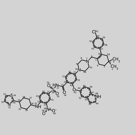 CC1(C)CCC(CN2CCN(c3ccc(C(=O)NS(=O)(=O)c4ccc(NC5CCC(c6nccs6)CC5)c([N+](=O)[O-])c4)c(Oc4ccc5[nH]ccc5c4)c3)CC2)=C(c2ccc(Cl)cc2)C1